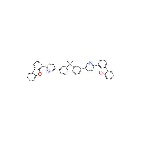 CC1(C)c2cc(-c3ccc(-c4cccc5c4oc4ccccc45)nc3)ccc2-c2ccc(-c3ccc(-c4cccc5c4oc4ccccc45)nc3)cc21